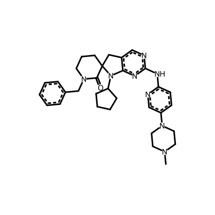 CN1CCN(c2ccc(Nc3ncc4c(n3)N(C3CCCC3)C3(CCCN(Cc5ccccc5)C3=O)C4)nc2)CC1